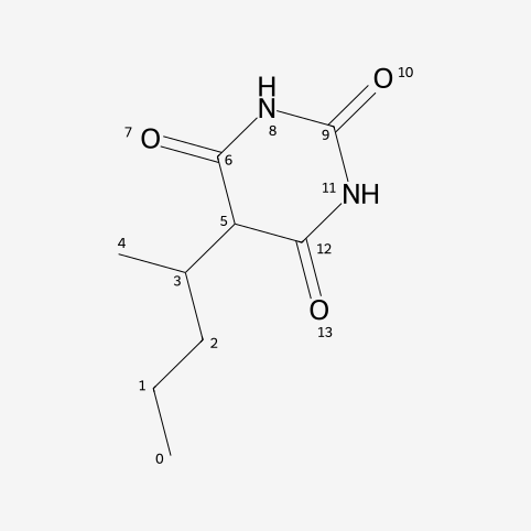 CCCC(C)C1C(=O)NC(=O)NC1=O